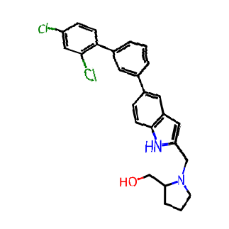 OCC1CCCN1Cc1cc2cc(-c3cccc(-c4ccc(Cl)cc4Cl)c3)ccc2[nH]1